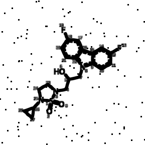 O=S1(=O)N(CC(O)Cn2c3ccc(F)cc3c3cc(F)ccc32)CCN1C1CC1